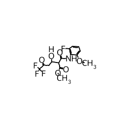 COC(=O)C(C(=O)Nc1c(F)cccc1OC)C(O)CC(=O)C(F)(F)F